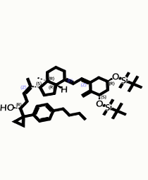 C=C1/C(=C\C=C2/CCC[C@]3(C)[C@@H](/C(C)=C\C[C@@H](O)C4(c5ccc(CCCC)cc5)CC4)CC[C@@H]23)C[C@@H](O[Si](C)(C)C(C)(C)C)C[C@@H]1O[Si](C)(C)C(C)(C)C